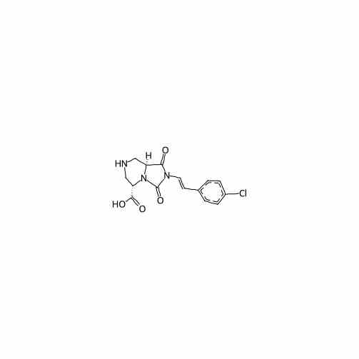 O=C(O)[C@@H]1CNC[C@H]2C(=O)N(C=Cc3ccc(Cl)cc3)C(=O)N12